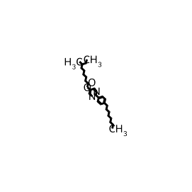 CCCCCCCCc1ccc(-c2ncc(OC(=O)CCCCCC(C)CC)cn2)cc1